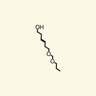 CCCOCOCCC=CCCO